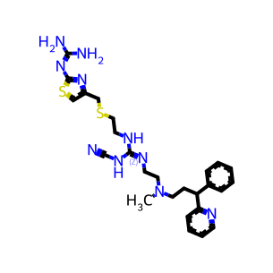 CN(CC/N=C(\NC#N)NCCSCc1csc(N=C(N)N)n1)CCC(c1ccccc1)c1ccccn1